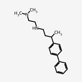 CC(CCNCCN(C)C)c1ccc(-c2ccccc2)cc1